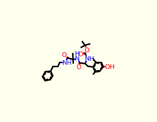 Cc1cc(O)cc(C)c1CC(NC(=O)OC(C)(C)C)C(=O)NC(C)(C)C(=O)NCCCc1ccccc1